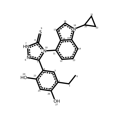 CCc1cc(-c2n[nH]c(=S)n2-c2cccc3c2ccn3C2CC2)c(O)cc1O